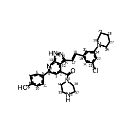 O=C(c1cc(-c2ccc(O)cc2)nc2[nH]nc(C=Cc3cc(Cl)cc(N4CCCCC4)c3)c12)N1CCNCC1